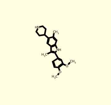 COc1ccc(-c2[nH]c3cc(C)c(C4CCNCC4)cc3c2C)cc1OC